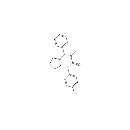 CCc1ccc(CC(=O)N(C)[C@@H](c2ccccc2)N2CCCC2)cc1